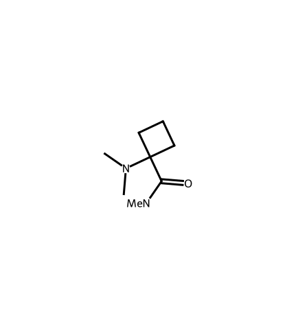 CNC(=O)C1(N(C)C)CCC1